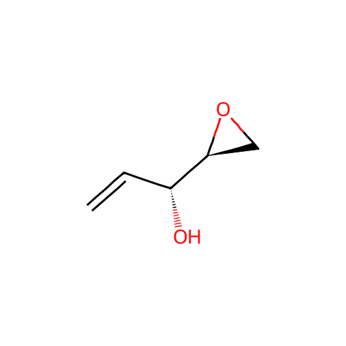 C=C[C@@H](O)[C@@H]1CO1